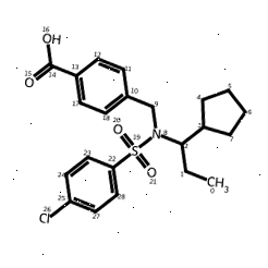 CCC(C1CCCC1)N(Cc1ccc(C(=O)O)cc1)S(=O)(=O)c1ccc(Cl)cc1